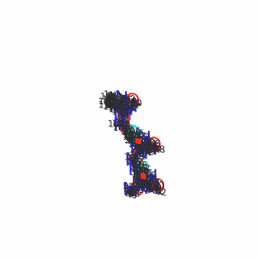 C=CC(=O)N1CCN(c2nc(OC[C@@H]3C[C@@H](OCc4ccc(N5CCc6c(nc(OC[C@H]7CC(c8ncc(N9CCc%10c(nc(OC[C@@H]%11CCCN%11C)nc%10N%10CCN(C(=O)C=C)[C@@H](CC#N)C%10)C9)c(C(F)(F)F)c8F)CN7C)nc6N6CCN(C(=O)C=C)[C@@H](CC#N)C6)C5)c(C(F)(F)F)c4F)CN3C)nc3c2CCN(c2cccc4ccccc24)C3)CC1CC#N